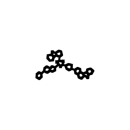 c1ccc(-c2ccc3cc(-c4nc(-c5ccc(-c6ccc7c(ccc8oc9ccccc9c87)c6)cc5)nc(-c5cccc6oc7ccccc7c56)n4)ccc3c2)cc1